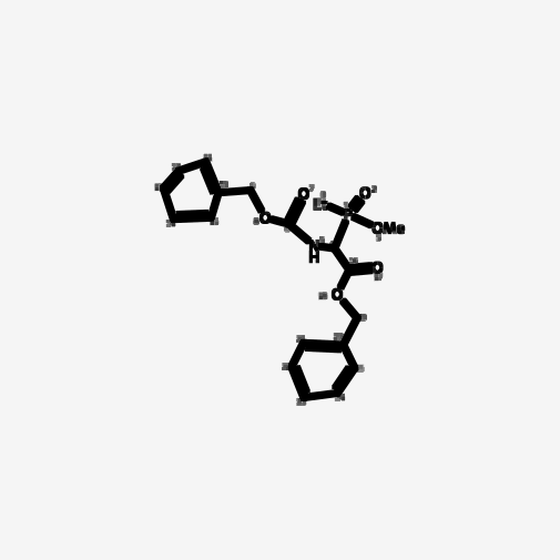 CCP(=O)(OC)C(NC(=O)OCc1ccccc1)C(=O)OCc1ccccc1